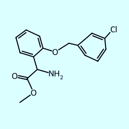 COC(=O)C(N)c1ccccc1OCc1cccc(Cl)c1